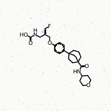 O=C(O)NC/C(=C/F)COc1ccc(C23CCCC(C(=O)NC4CCOCC4)(CC2)CC3)cc1